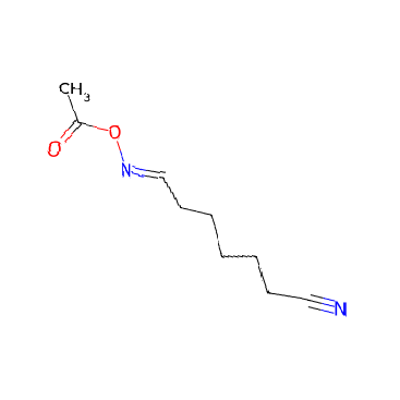 CC(=O)ON=CCCCCCC#N